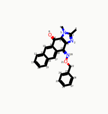 Cc1nc2c(n1C)C(=O)c1cc3ccccc3cc1/C2=N\OCc1ccccc1